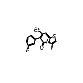 CCc1cc2scc(C)n2c(=O)c1-c1cccc(F)c1